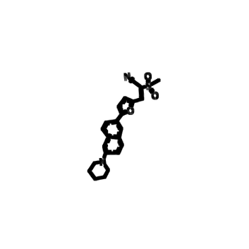 CS(=O)(=O)/C(C#N)=C/c1ccc(-c2ccc3cc(N4CCCCC4)ccc3c2)o1